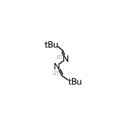 CC(C)(C)/C=N\N=C/C(C)(C)C